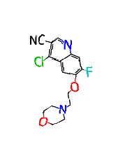 N#Cc1cnc2cc(F)c(OCCN3CCOCC3)cc2c1Cl